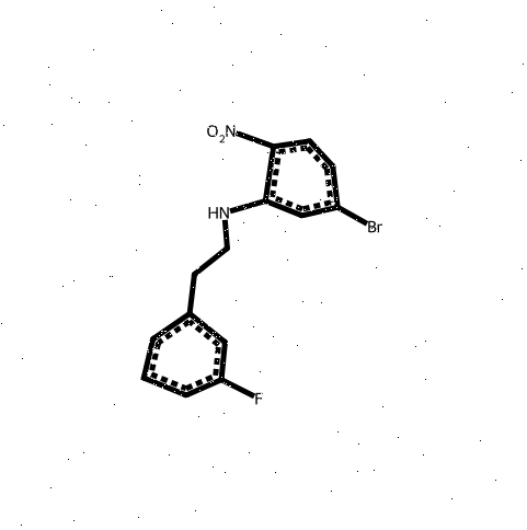 O=[N+]([O-])c1ccc(Br)cc1NCCc1cccc(F)c1